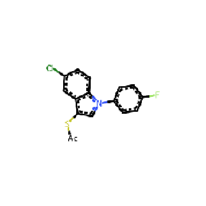 CC(=O)Sc1cn(-c2ccc(F)cc2)c2ccc(Cl)cc12